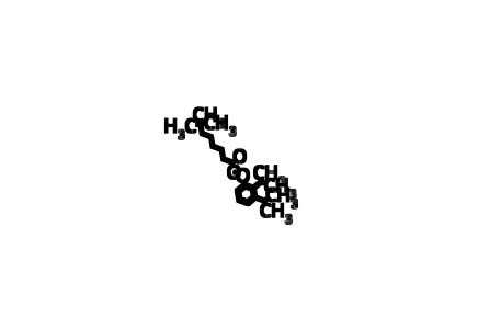 CC(C)c1cccc(OOC(=O)CCCCCC(C)(C)C)c1C(C)C